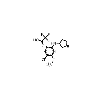 Clc1cnc(N[C@@H]2CCNC2)nc1OC(Cl)(Cl)Cl.O=C(O)C(F)(F)F